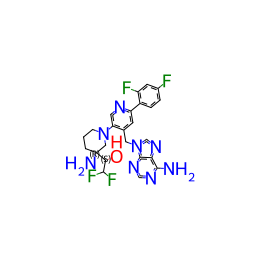 Nc1ncnc2c1ncn2Cc1cc(-c2ccc(F)cc2F)ncc1N1CCC[C@](N)([C@H](O)C(F)F)C1